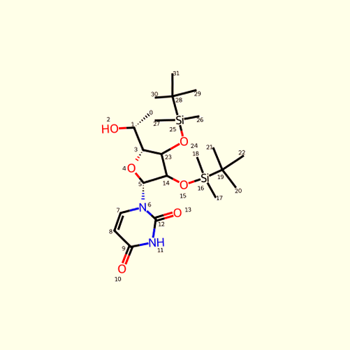 C[C@@H](O)[C@H]1O[C@@H](n2ccc(=O)[nH]c2=O)C(O[Si](C)(C)C(C)(C)C)C1O[Si](C)(C)C(C)(C)C